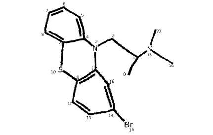 CC(CN1c2ccccc2Sc2ccc(Br)cc21)N(C)C